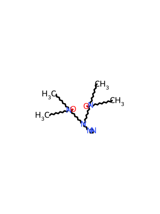 CCCCCCCCCCN(CCCCCCCCCC)C(=O)CCCCCCCN(CCCCCCCC(=O)N(CCCCCCCCCC)CCCCCCCCCC)CCCn1ccnc1